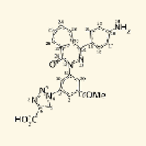 COc1cc(-n2cc(C(=O)O)nn2)cc(-n2nc(-c3ccc(N)cc3)c3ccccc3c2=O)c1